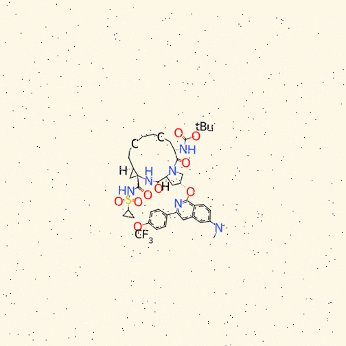 CN(C)c1ccc2c(O[C@@H]3C[C@H]4C(=O)N[C@]5(C(=O)NS(=O)(=O)C6CC6)C[C@H]5CCCCCCC[C@H](NC(=O)OC(C)(C)C)C(=O)N4C3)nc(-c3ccc(OC(F)(F)F)cc3)cc2c1